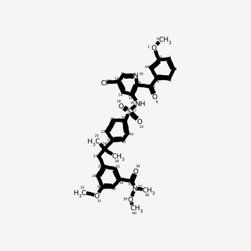 COc1cccc(C(=O)c2ncc(Cl)cc2NS(=O)(=O)c2ccc(C(C)(C)Cc3cc(OC)cc(C(=O)N(C)OC)c3)cc2)c1